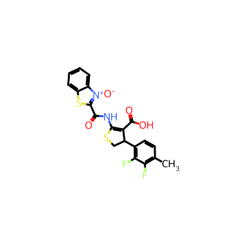 Cc1ccc(C2CSC(NC(=O)c3sc4ccccc4[n+]3[O-])=C2C(=O)O)c(F)c1F